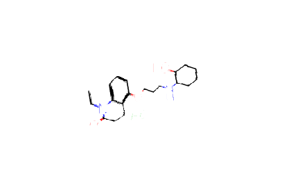 CCN1C(=O)CCc2c(OCCCNC3CCCCC3O)cccc21.Cl